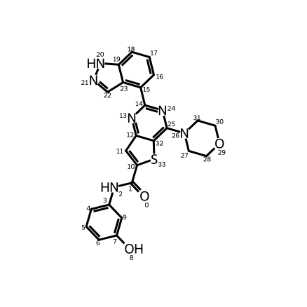 O=C(Nc1cccc(O)c1)c1cc2nc(-c3cccc4[nH]ncc34)nc(N3CCOCC3)c2s1